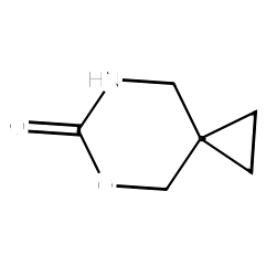 O=C1NCC2(CC2)CO1